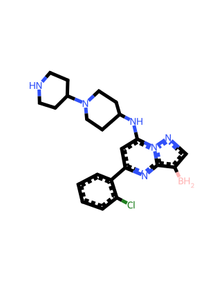 Bc1cnn2c(NC3CCN(C4CCNCC4)CC3)cc(-c3ccccc3Cl)nc12